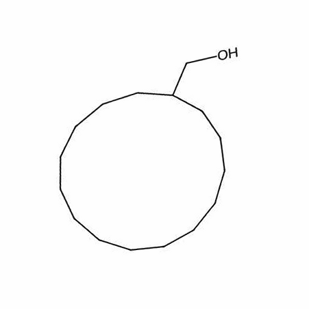 OCC1CCCCCCCCCCCCCC1